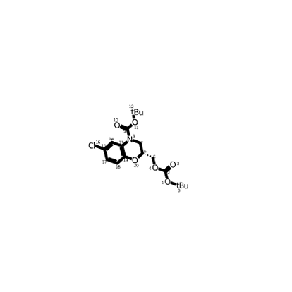 CC(C)(C)OC(=O)OC[C@H]1CN(C(=O)OC(C)(C)C)c2cc(Cl)ccc2O1